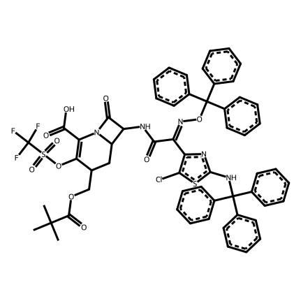 CC(C)(C)C(=O)OCC1CC2C(NC(=O)C(=NOC(c3ccccc3)(c3ccccc3)c3ccccc3)c3nc(NC(c4ccccc4)(c4ccccc4)c4ccccc4)sc3Cl)C(=O)N2C(C(=O)O)=C1OS(=O)(=O)C(F)(F)F